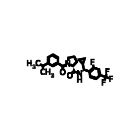 CC(C)c1cccc(C(=O)N2CCC[C@@H]2C(=O)N[C@@H](c2ccc(C(F)(F)F)cc2F)C2CC2)c1